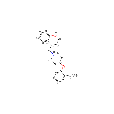 COc1ccccc1OC1CCN(CC2CCOc3ccccc32)CC1